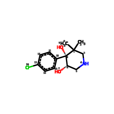 CC1(C)CNC[C@H](O)[C@@]1(O)c1ccc(Cl)cc1